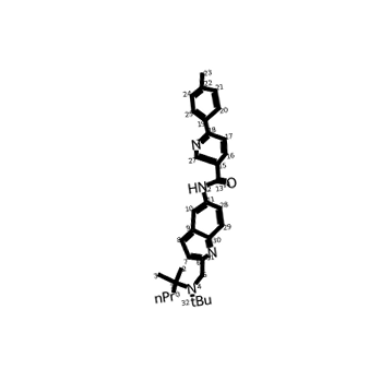 CCCC(C)(C)N(Cc1ccc2cc(NC(=O)c3ccc(-c4ccc(C)cc4)nc3)ccc2n1)C(C)(C)C